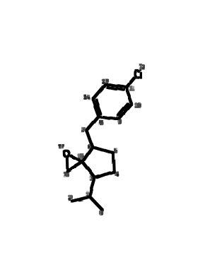 CC(C)C1CCC(Cc2ccc(Cl)cc2)C12CO2